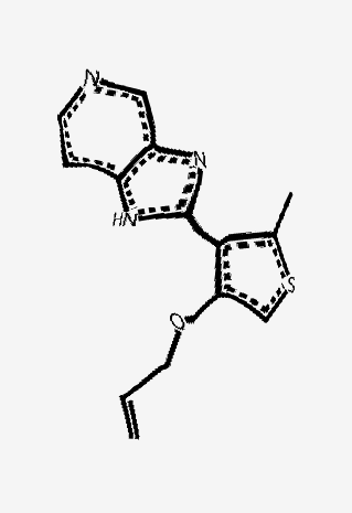 C=CCOc1csc(C)c1-c1nc2cnccc2[nH]1